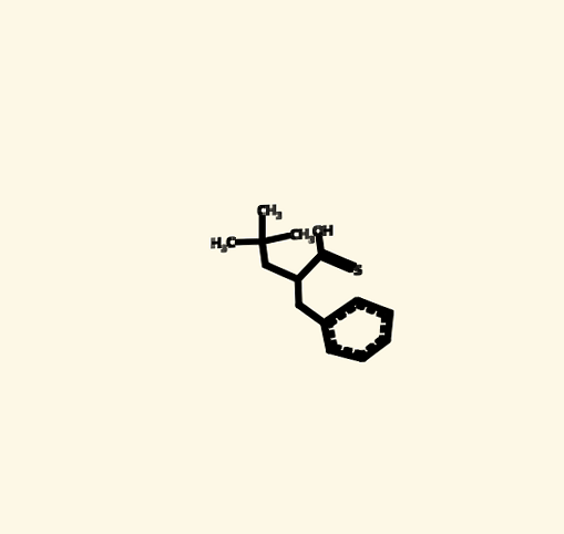 CC(C)(C)CC(Cc1ccccc1)C(O)=S